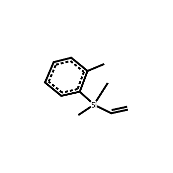 C=C[Si](C)(C)c1ccccc1C